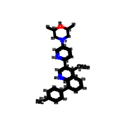 COc1c(-c2ccc(N3CC(C)OC(C)C3)cn2)cnc2c(-c3ccc(C#N)cc3)cccc12